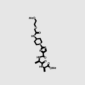 C=C(NC(=O)c1csc(N2CCC(NC(=O)COCCOC)CC2)n1)C(=O)NC(=C)C(=O)OC